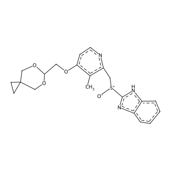 Cc1c(OCC2OCC3(CC3)CO2)ccnc1C[S+]([O-])c1nc2ccccc2[nH]1